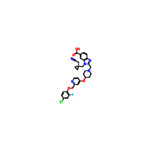 N#CCC1(Cn2c(CN3CCC(Oc4ccnc(COc5ccc(Cl)cc5F)c4)CC3)nc3ccc(C(=O)O)cc32)CC1